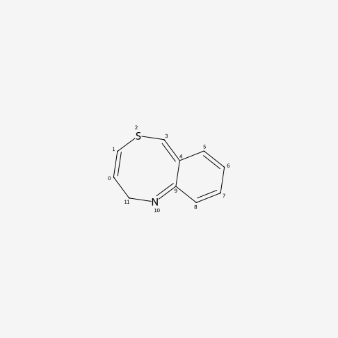 C1=C\S/C=c2/cccc/c2=N/C/1